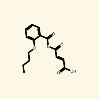 CCCCOc1ccccc1C(=O)OC(=O)/C=C/C(=O)O